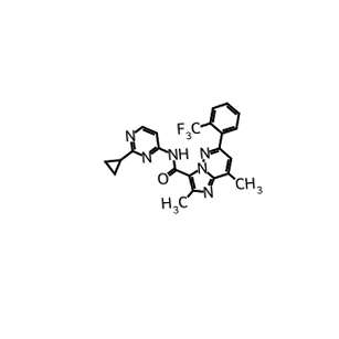 Cc1nc2c(C)cc(-c3ccccc3C(F)(F)F)nn2c1C(=O)Nc1ccnc(C2CC2)n1